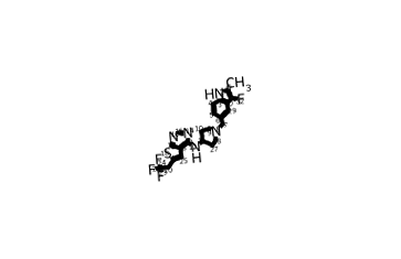 Cc1[nH]c2ccc(CN3CCC(Nc4ncnc5sc(CC(F)(F)F)cc45)CC3)cc2c1F